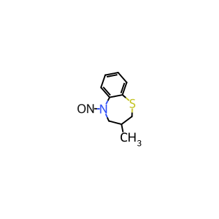 CC1CSc2ccccc2N(N=O)C1